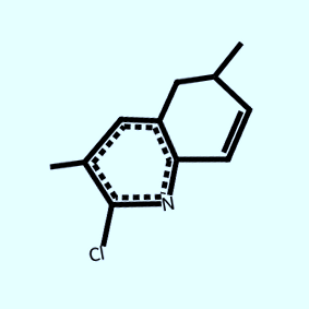 Cc1cc2c(nc1Cl)C=CC(C)C2